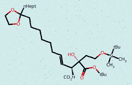 CCCCCCCC1(CCCCCCC=C[C@H](C(=O)O)[C@@](O)(CCO[Si](C)(C)C(C)(C)C)C(=O)OC(C)(C)C)OCCO1